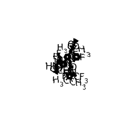 C[C@@H]1c2c(C(F)(F)F)nn(CC(=O)N[C@@H](Cc3cc(F)cc(F)c3)c3nc(C#CC(C)(C)S(=O)(=O)C4CC4)ccc3-c3ccc(Cl)c4c(NS(=O)(=O)C5(C)CC5)nn(CC(F)F)c34)c2C(F)(F)[C@@H]1C